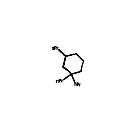 CCC[C]1CCCC(CCC)(CCC)C1